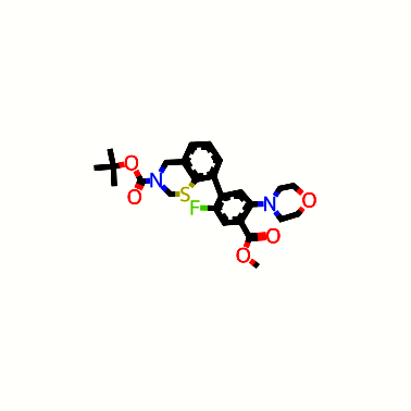 COC(=O)c1cc(F)c(-c2cccc3c2SCN(C(=O)OC(C)(C)C)C3)cc1N1CCOCC1